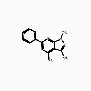 Cc1nn(C)c2nc(-c3ccccc3)cc(N)c12